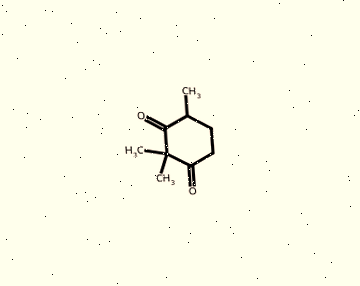 CC1CCC(=O)C(C)(C)C1=O